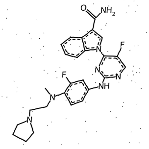 CN(CCN1CCCC1)c1ccc(Nc2ncc(F)c(-n3cc(C(N)=O)c4ccccc43)n2)cc1F